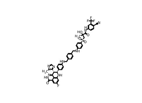 Cn1ncnc1[C@H]1c2n[nH]c(=O)c3cc(F)cc(c23)N[C@@H]1c1ccc(NCc2ccc(CNc3ccc(S(=O)(=O)CC(C)(O)C(=O)Nc4ccc(C#N)c(C(F)(F)F)c4)cc3)cc2)cc1